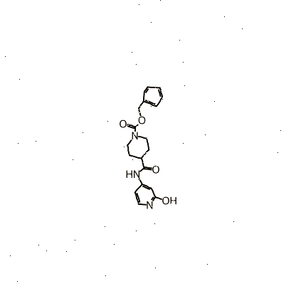 O=C(Nc1ccnc(O)c1)C1CCN(C(=O)OCc2ccccc2)CC1